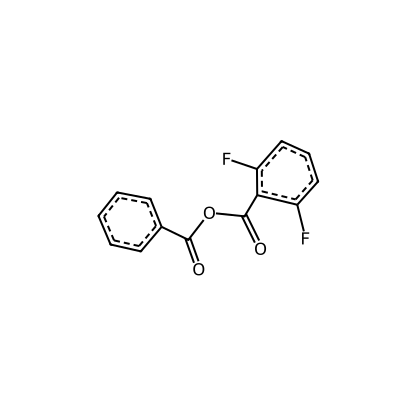 O=C(OC(=O)c1c(F)cccc1F)c1ccccc1